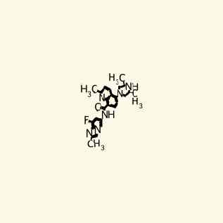 Cc1ccc2c(N3C[C@@H](C)N[C@H](C)C3)ccc(C(=O)Nc3cc(F)c4nc(C)cn4c3)c2n1